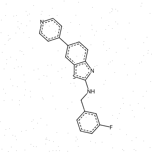 Fc1cccc(CNc2nc3ccc(-c4ccncc4)cc3s2)c1